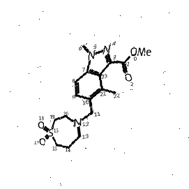 COC(=O)c1nn(C)c2ccc(CN3CCCS(=O)(=O)CC3)c(C)c12